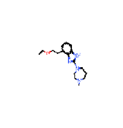 CCOCCc1cccc2[nH]c(N3CCCN(C)CC3)nc12